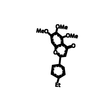 CCc1ccc(-c2cc(=O)c3c(OC)c(OC)c(OC)cc3o2)cc1